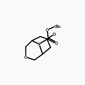 CC(C)(C)OC(=O)N1C2COCC1CC([O])C2